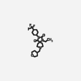 CCN1C(=O)N(C2CCC(C(F)(F)F)CC2)C(=O)C12CCN(CC1CCOCC1)CC2